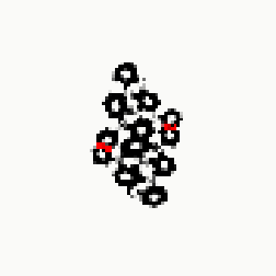 c1ccc(-n2c3cc4c(cc5c6c4n(-c4ccccc4)c4cccc7c4p6c4c(ccc6oc8ccccc8n7c64)n5-c4ccccc4)c4c3p3c5c(cccc5n5c6ccccc6oc6ccc2c3c65)n4-c2ccccc2)cc1